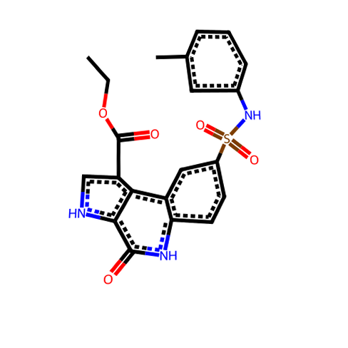 CCOC(=O)c1c[nH]c2c(=O)[nH]c3ccc(S(=O)(=O)Nc4cccc(C)c4)cc3c12